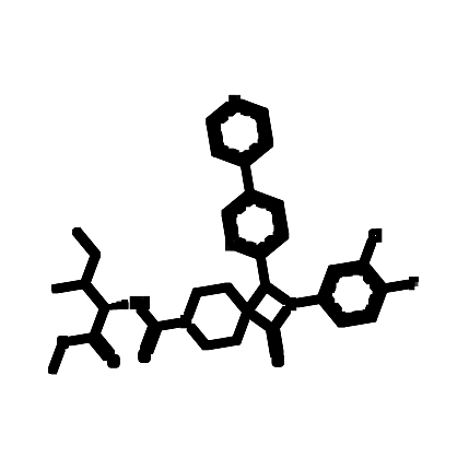 CCC(C)[C@H](NC(=O)N1CCC2(CC1)C(=O)N(c1ccc(F)c(Cl)c1)C2c1ccc(-c2ccncc2)cn1)C(=O)OC